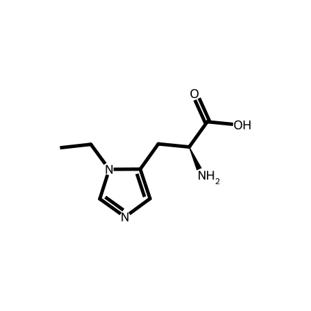 CCn1cncc1C[C@H](N)C(=O)O